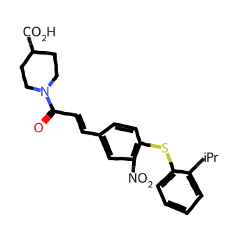 CC(C)c1ccccc1Sc1ccc(/C=C/C(=O)N2CCC(C(=O)O)CC2)cc1[N+](=O)[O-]